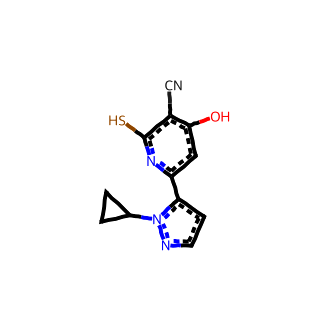 N#Cc1c(O)cc(-c2ccnn2C2CC2)nc1S